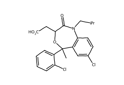 CC(C)CN1C(=O)C(CC(=O)O)OC(C)(c2ccccc2Cl)c2cc(Cl)ccc21